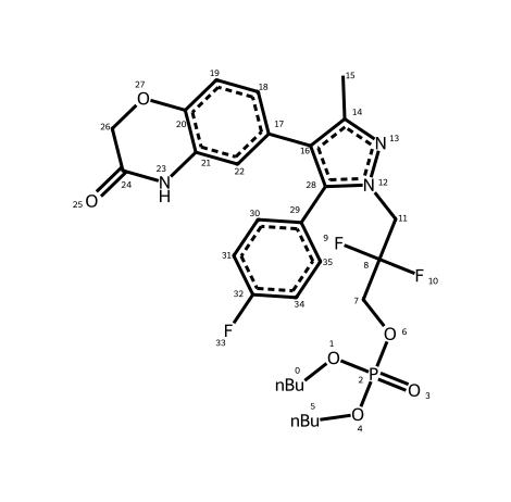 CCCCOP(=O)(OCCCC)OCC(F)(F)Cn1nc(C)c(-c2ccc3c(c2)NC(=O)CO3)c1-c1ccc(F)cc1